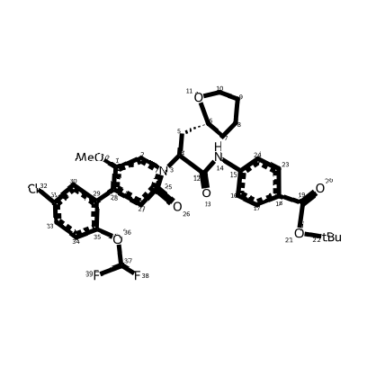 COc1cn(C(C[C@H]2CCCCO2)C(=O)Nc2ccc(C(=O)OC(C)(C)C)cc2)c(=O)cc1-c1cc(Cl)ccc1OC(F)F